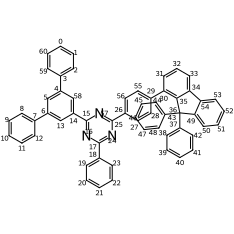 c1ccc(-c2cc(-c3ccccc3)cc(-c3nc(-c4ccccc4)nc(-c4ccc(-c5cccc6c5C(c5ccccc5)(c5ccccc5)c5ccccc5-6)cc4)n3)c2)cc1